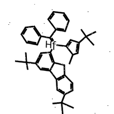 CC1C=C(C(C)(C)C)C=[C]1[Hf](=[C](c1ccccc1)c1ccccc1)[c]1cc(C(C)(C)C)cc2c1Cc1ccc(C(C)(C)C)cc1-2